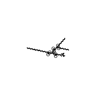 CCCCCC/C=C/C/C=C/CCCCCCC(=O)OCC(COC(=O)CCCCN(CC)CC)COC(=O)CCC(OCCCCCCCC)OCCCCCCCC